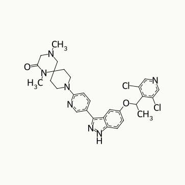 CC(Oc1ccc2[nH]nc(-c3ccc(N4CCC5(CC4)CN(C)CC(=O)N5C)nc3)c2c1)c1c(Cl)cncc1Cl